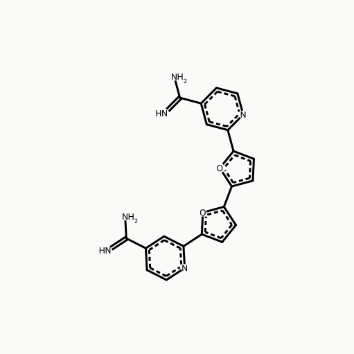 N=C(N)c1ccnc(-c2ccc(-c3ccc(-c4cc(C(=N)N)ccn4)o3)o2)c1